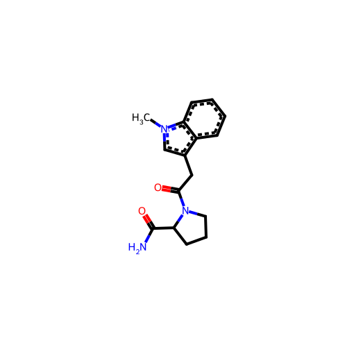 Cn1cc(CC(=O)N2CCCC2C(N)=O)c2ccccc21